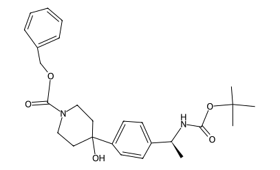 C[C@H](NC(=O)OC(C)(C)C)c1ccc(C2(O)CCN(C(=O)OCc3ccccc3)CC2)cc1